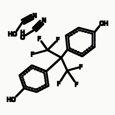 N#CO.N#CO.Oc1ccc(C(c2ccc(O)cc2)(C(F)(F)F)C(F)(F)F)cc1